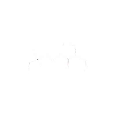 CCC(CC)C(=O)OOOC(C)(C)CC